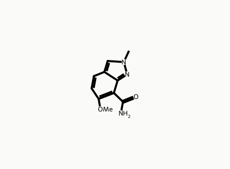 COc1ccc2cn(C)nc2c1C(N)=O